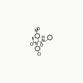 C#CC(=O)N(c1ccc(Cl)cc1)C(C(=O)NCc1ccccc1)c1ccc(N=O)cc1